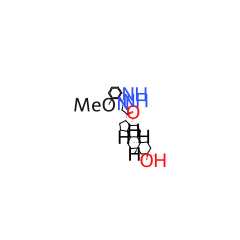 COc1cccc2c1N(CC(=O)[C@H]1CC[C@H]3[C@@H]4CC[C@H]5C[C@](C)(O)CC[C@]5(C)[C@H]4CC[C@]13C)NN2